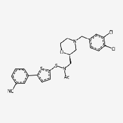 CC(=O)N(C[C@@H]1CN(Cc2ccc(Cl)c(Cl)c2)CCO1)Sc1ccc(-c2cccc(C#N)c2)s1